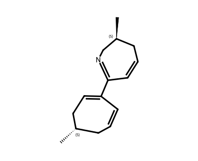 C[C@H]1CC=CC(C2=NC[C@@H](C)CC=C2)=CC1